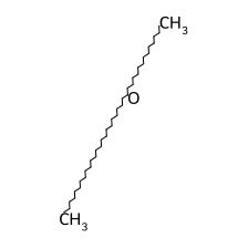 CCCCCCCCCCCCCCCCCCCCCCCCC(=O)CCCCCCCCCCCCCC